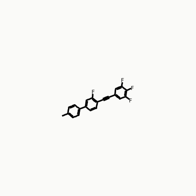 Cc1ccc(-c2ccc(C#Cc3cc(F)c(F)c(F)c3)c(F)c2)cc1